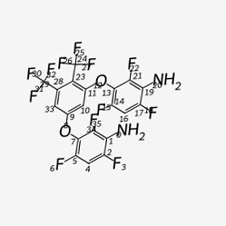 Nc1c(F)cc(F)c(Oc2cc(Oc3c(F)cc(F)c(N)c3F)c(C(F)(F)F)c(C(F)(F)F)c2)c1F